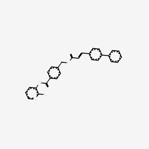 Nc1ncccc1NC(=O)c1ccc(CNC(=O)/C=C/c2ccc(-c3ccccc3)cc2)cc1